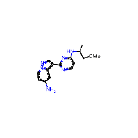 COC[C@H](C)Nc1ccnc(-c2cnn3ccc(N)cc23)n1